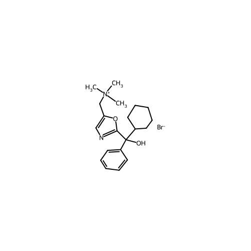 C[N+](C)(C)Cc1cnc(C(O)(c2ccccc2)C2CCCCC2)o1.[Br-]